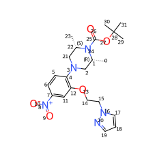 C[C@@H]1CN(c2ccc([N+](=O)[O-])cc2OCCn2cccn2)C[C@H](C)N1C(=O)OC(C)(C)C